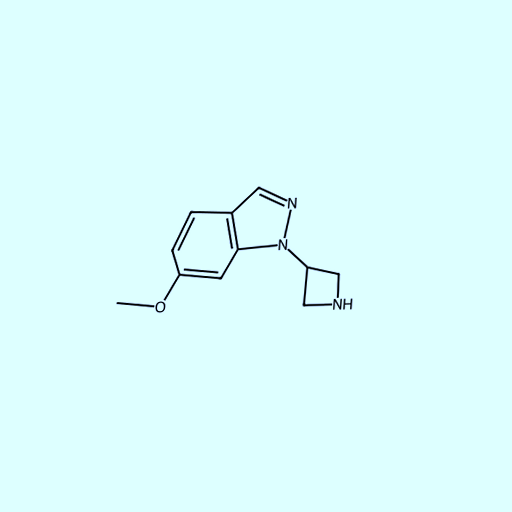 COc1ccc2cnn(C3CNC3)c2c1